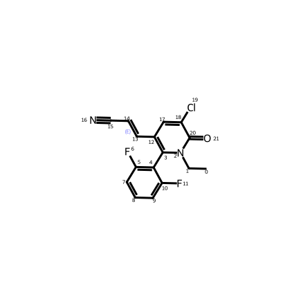 CCn1c(-c2c(F)cccc2F)c(/C=C/C#N)cc(Cl)c1=O